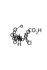 O=C(Nc1cccc2c(=O)cc(-c3nnn[nH]3)oc12)c1ccc(OCCCCc2ccccc2)cc1.O=C(O)COCCN1CCN(C(c2ccccc2)c2ccc(Cl)cc2)CC1